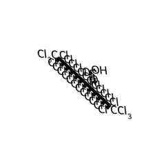 ClC(Cl)(Cl)C(Cl)(Cl)C(Cl)(Cl)C(Cl)(Cl)C(Cl)(Cl)C(Cl)(Cl)C(Cl)(Cl)C(Cl)(Cl)C(Cl)(Cl)C(Cl)(Cl)C(Cl)(Cl)C(Cl)(Cl)C(Cl)(Cl)C(Cl)(Cl)Cl.O=[SH](=O)O